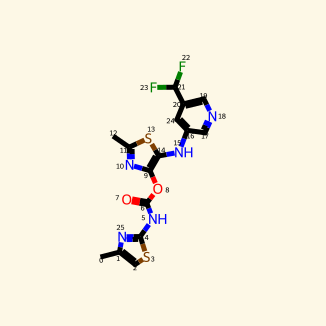 Cc1csc(NC(=O)Oc2nc(C)sc2Nc2cncc(C(F)F)c2)n1